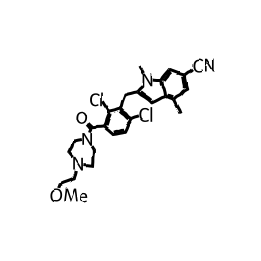 COCCN1CCN(C(=O)c2ccc(Cl)c(Cc3cc4c(C)cc(C#N)cc4n3C)c2Cl)CC1